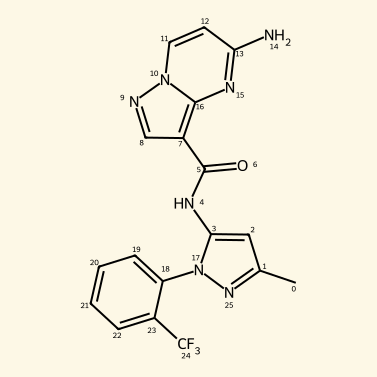 Cc1cc(NC(=O)c2cnn3ccc(N)nc23)n(-c2ccccc2C(F)(F)F)n1